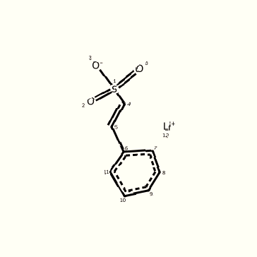 O=S(=O)([O-])C=Cc1ccccc1.[Li+]